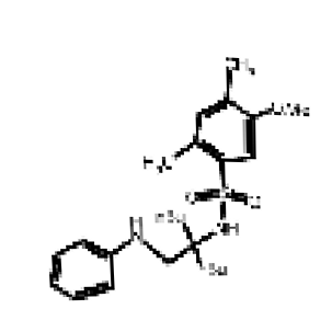 CCCCC(CCCC)(CNc1ccccc1)NS(=O)(=O)c1cc(OC)c(C)cc1C